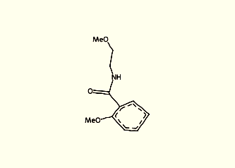 COCCNC(=O)c1ccccc1OC